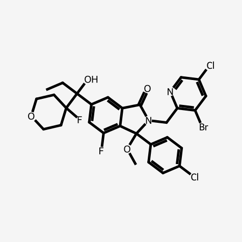 CCC(O)(c1cc(F)c2c(c1)C(=O)N(Cc1ncc(Cl)cc1Br)C2(OC)c1ccc(Cl)cc1)C1(F)CCOCC1